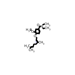 CCN(CC)C(=O)c1ccc(OC/C=C(\C)CCC=C(C)C)c(OC)c1